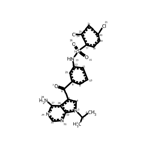 CC(C)n1cc(C(=O)c2cccc(NS(=O)(=O)c3ccc(Cl)cc3Cl)c2)c2c(N)ncnc21